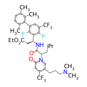 CCOC(=O)C[C@H](NC(=O)C(CC(C)C)n1cc(CCCN(C)C)c(C(F)(F)F)cc1=O)c1c(F)c(-c2c(C)ccc(C)c2C)cc(C(F)(F)F)c1F